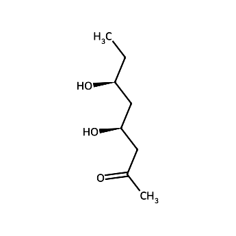 CC[C@H](O)C[C@H](O)CC(C)=O